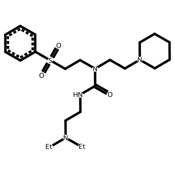 CCN(CC)CCNC(=O)N(CCN1CCCCC1)CCS(=O)(=O)c1ccccc1